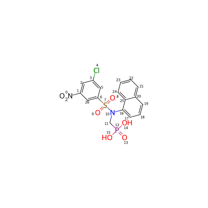 O=[N+]([O-])c1cc(Cl)cc(S(=O)(=O)N(CP(=O)(O)O)c2cccc3ccccc23)c1